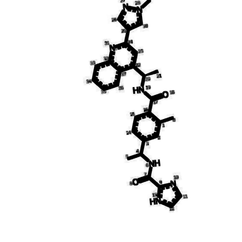 Cc1cc(C(C)NC(=O)c2ncc[nH]2)ccc1C(=O)N[C@H](C)c1cc(-c2cnn(C)c2)nc2ccccc12